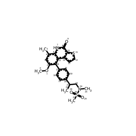 COc1cc(C)c2[nH]c(=O)c3sccc3c2c1-c1ccc(C(C)CN(C)S(C)(=O)=O)cc1